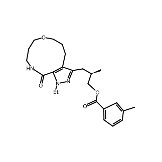 CCn1nc(C[C@@H](C)COC(=O)c2cccc(C)c2)c2c1C(=O)NCCCOCCC2